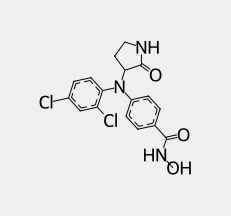 O=C(NO)c1ccc(N(c2ccc(Cl)cc2Cl)C2CCNC2=O)cc1